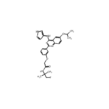 CC(C)Oc1ccc2nc(-c3cccc(OCC(=O)NC(C)(C)CF)c3)nc(Nc3cn[nH]c3)c2c1